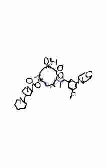 C/C(=C\c1cc(F)cc(N2CCOCC2)c1)[C@H]1C(=O)C(=O)C[C@H](O)CC[C@H](C)[C@@H](OC(=O)N2CCC(N3CCCCC3)CC2)/C=C/[C@@H]1C